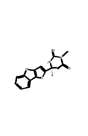 CN1C(=N)N[C@](C)(c2cc3oc4ccccc4c3s2)CC1=O